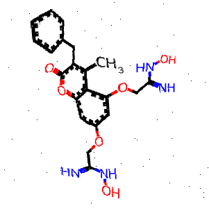 Cc1c(Cc2ccccc2)c(=O)oc2cc(OCC(=N)NO)cc(OCC(=N)NO)c12